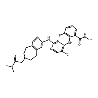 CCNC(=O)c1cccc(F)c1Nc1nc(Nc2ccc3c(c2)CCN(CC(=O)N(C)C)CC3)ncc1Cl